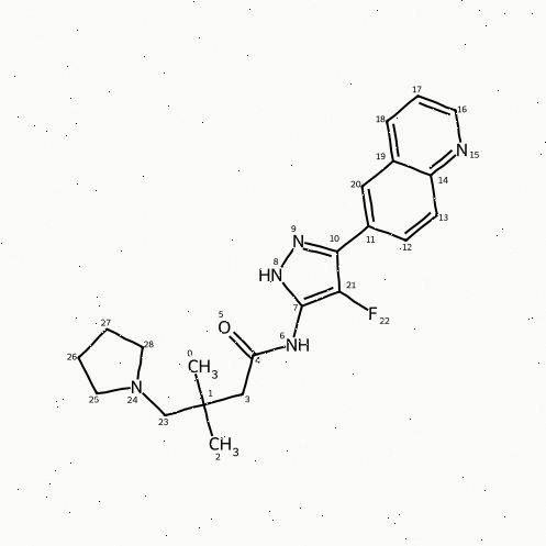 CC(C)(CC(=O)Nc1[nH]nc(-c2ccc3ncccc3c2)c1F)CN1CCCC1